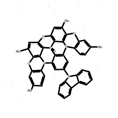 CC(C)(C)c1ccc2c(c1)Oc1c(C(C)(C)C)cc3c4c1N2c1cc(-n2c5ccccc5c5ccccc52)cc2c1P4(=S)c1c(cc(C(C)(C)C)c4c1N2c1ccc(C(C)(C)C)cc1O4)O3